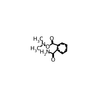 CN(C)OC(=O)c1ccccc1C(N)=O